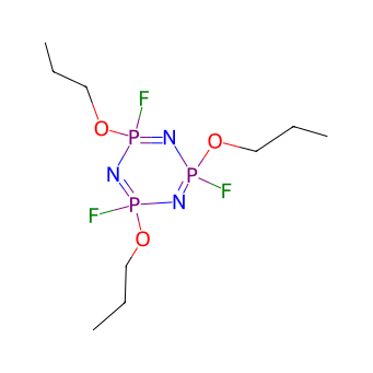 CCCOP1(F)=NP(F)(OCCC)=NP(F)(OCCC)=N1